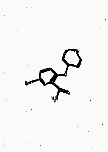 NC(=O)c1cc(Br)ccc1OC1CCNCC1